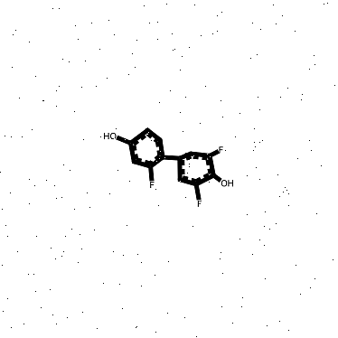 Oc1ccc(-c2cc(F)c(O)c(F)c2)c(F)c1